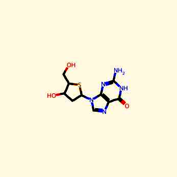 Nc1nc2c(ncn2C2CC(O)C(CO)S2)c(=O)[nH]1